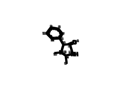 CC1NC(=O)C(c2ccccc2)N1C